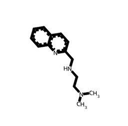 CN(C)CCNCc1ccc2ccccc2n1